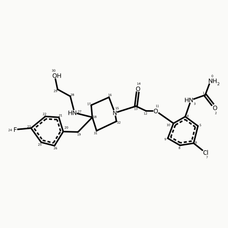 NC(=O)Nc1cc(Cl)ccc1OCC(=O)N1CCC(Cc2ccc(F)cc2)(NCCO)CC1